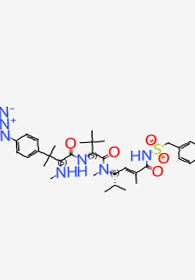 CN[C@H](C(=O)N[C@H](C(=O)N(C)[C@H](C=C(C)C(=O)NS(=O)(=O)Cc1ccccc1)C(C)C)C(C)(C)C)C(C)(C)c1ccc(N=[N+]=[N-])cc1